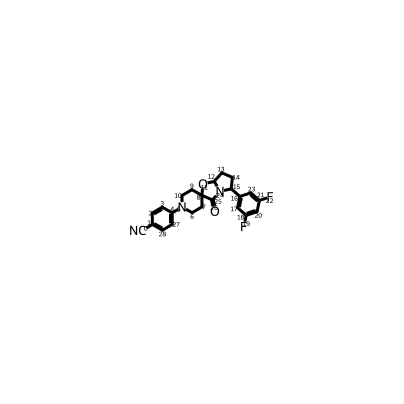 N#Cc1ccc(N2CCC3(CC2)OC2CCC(c4cc(F)cc(F)c4)N2C3=O)cc1